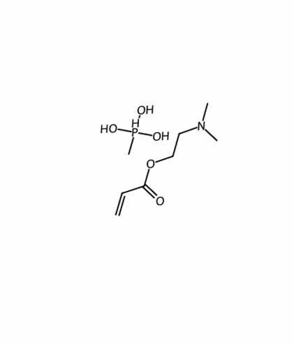 C=CC(=O)OCCN(C)C.C[PH](O)(O)O